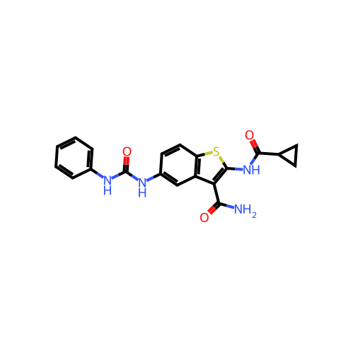 NC(=O)c1c(NC(=O)C2CC2)sc2ccc(NC(=O)Nc3ccccc3)cc12